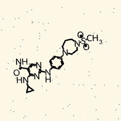 CS(=O)(=O)N1CCCN(c2ccc(Nc3ncc(C(N)=O)c(NC4CC4)n3)cc2)CC1